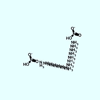 N.N.N.N.N.N.N.N.N.N.N.N.N.N.N.O=[N+]([O-])O.O=[N+]([O-])O